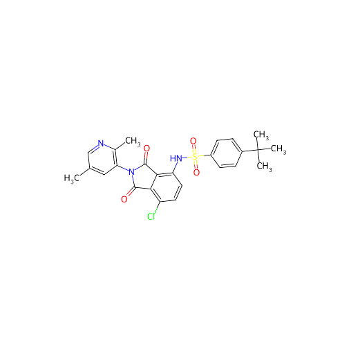 Cc1cnc(C)c(N2C(=O)c3c(Cl)ccc(NS(=O)(=O)c4ccc(C(C)(C)C)cc4)c3C2=O)c1